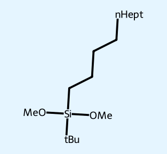 CCCCCCCCCCC[Si](OC)(OC)C(C)(C)C